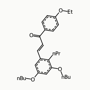 CCCCOc1cc(C=CC(=O)c2ccc(OCC)cc2)c(CCC)c(OCCCC)c1